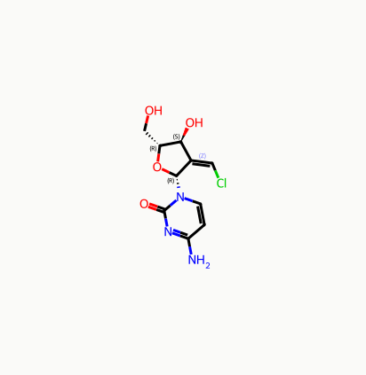 Nc1ccn([C@@H]2O[C@H](CO)[C@@H](O)/C2=C/Cl)c(=O)n1